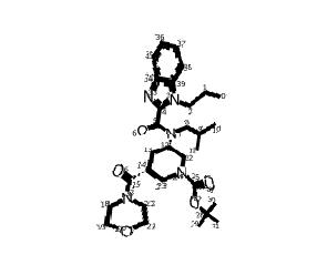 CCCn1c(C(=O)N(CC(C)C)[C@H]2C[C@@H](C(=O)N3CCOCC3)CN(C(=O)OC(C)(C)C)C2)nc2ccccc21